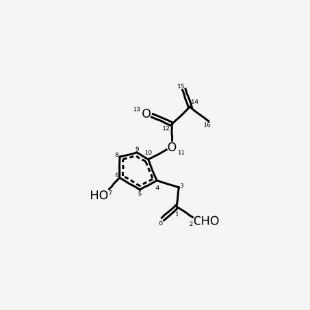 C=C(C=O)Cc1cc(O)ccc1OC(=O)C(=C)C